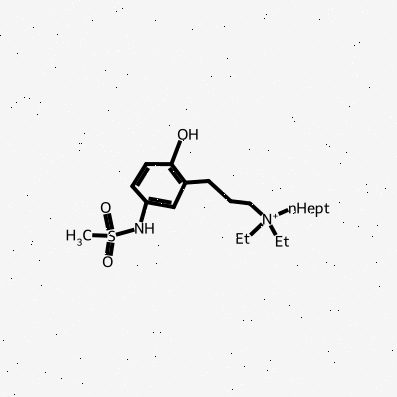 CCCCCCC[N+](CC)(CC)CCCc1cc(NS(C)(=O)=O)ccc1O